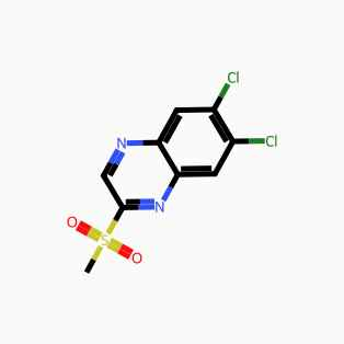 CS(=O)(=O)c1cnc2cc(Cl)c(Cl)cc2n1